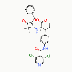 CCC(c1ccc(NC(=O)c2c(Cl)cncc2Cl)cc1)[C@H](NC1=C(Cc2ccccc2)C(=O)C1(C)C)C(=O)O